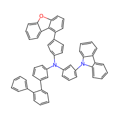 c1ccc(-c2ccccc2-c2cccc(N(c3ccc(-c4cccc5oc6ccccc6c45)cc3)c3cccc(-n4c5ccccc5c5ccccc54)c3)c2)cc1